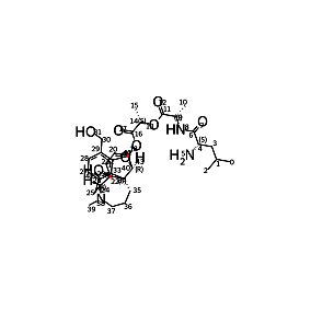 CC(C)C[C@H](N)C(=O)N[C@@H](C)C(=O)O[C@@H](C)C(=O)OC1=CC[C@@]2(O)[C@H]3Cc4ccc(CO)c5c4[C@@]2(CCCN3C)[C@H]1O5